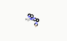 CN(C[C@@H]1Cc2c(cccc2N2CCSCC2)CN1)[C@H]1CCCc2cccnc21